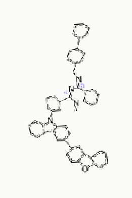 C=N/C(=N\C(=N/Cc1ccc(-c2ccccc2)cc1)c1ccccc1)c1cccc(-n2c3ccccc3c3cc(-c4ccc5oc6ccccc6c5c4)ccc32)c1